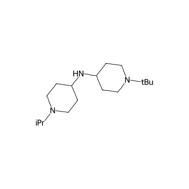 CC(C)N1CCC(NC2CCN(C(C)(C)C)CC2)CC1